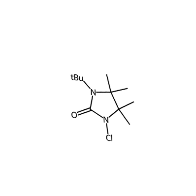 CC(C)(C)N1C(=O)N(Cl)C(C)(C)C1(C)C